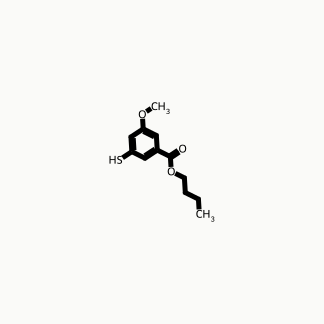 CCCCOC(=O)c1cc(S)cc(OC)c1